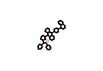 c1ccc(-c2oc3c(-c4c5ccccc5c(-c5ccc(-c6cccc7ccccc67)cc5)c5ccccc45)cccc3c2-c2ccccc2)cc1